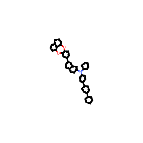 c1ccc(-c2ccc(-c3ccc(N(c4ccccc4)c4ccc5ccc(-c6ccc7c(c6)Oc6cccc8cccc(c68)O7)cc5c4)cc3)cc2)cc1